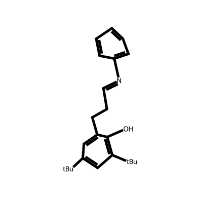 CC(C)(C)c1cc(CCC=Nc2ccccc2)c(O)c(C(C)(C)C)c1